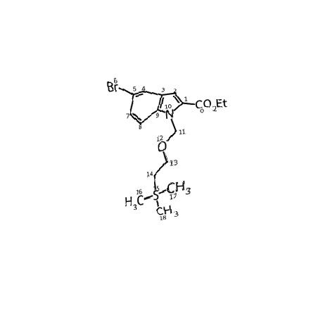 CCOC(=O)c1cc2cc(Br)ccc2n1COCCS(C)(C)C